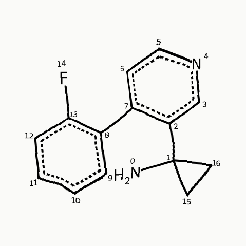 NC1(c2cnccc2-c2ccccc2F)CC1